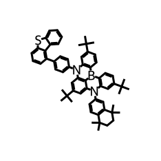 CC(C)(C)c1ccc2c(c1)N(c1ccc(-c3cccc4sc5ccccc5c34)cc1)c1cc(C(C)(C)C)cc3c1B2c1ccc(C(C)(C)C)cc1N3c1ccc2c(c1)C(C)(C)CCC2(C)C